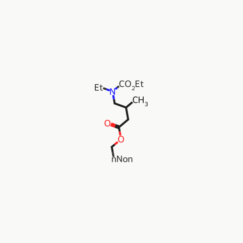 CCCCCCCCCCOC(=O)CC(C)CN(CC)C(=O)OCC